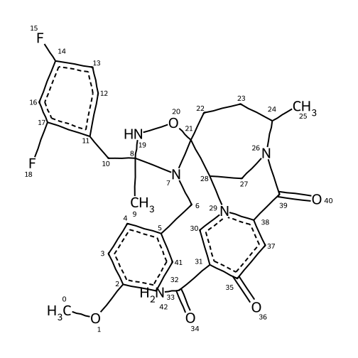 COc1ccc(CN2C(C)(Cc3ccc(F)cc3F)NOC23CCC(C)N2CC3n3cc(C(N)=O)c(=O)cc3C2=O)cc1